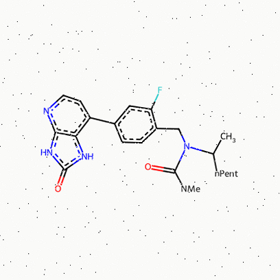 CCCCCC(C)N(Cc1ccc(-c2ccnc3[nH]c(=O)[nH]c23)cc1F)C(=O)NC